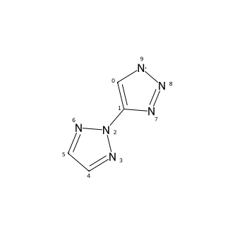 C1=C(n2nccn2)N=N[N]1